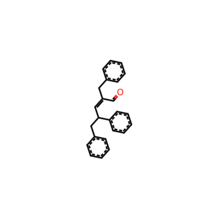 O=CC(=CC(Cc1ccccc1)c1ccccc1)Cc1ccccc1